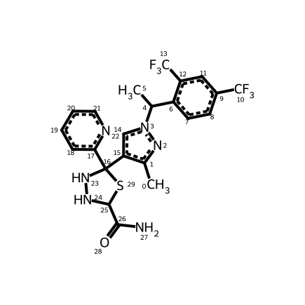 Cc1nn(C(C)c2ccc(C(F)(F)F)cc2C(F)(F)F)cc1C1(c2ccccn2)NNC(C(N)=O)S1